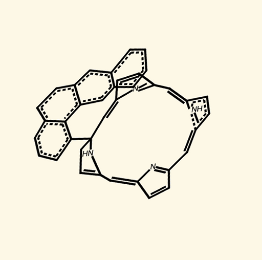 C1=CC2=NC1=CC1=CCC(c3cccc4ccc5cc6ccccc6cc5c34)(C=C3C=CC(=N3)C=c3ccc([nH]3)=C2)N1